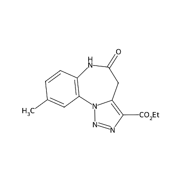 CCOC(=O)c1nnn2c1CC(=O)Nc1ccc(C)cc1-2